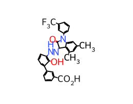 Cc1cc(C)c2c(c1)N(c1cccc(C(F)(F)F)c1)C(=O)/C2=N\Nc1cccc(-c2cccc(C(=O)O)c2)c1O